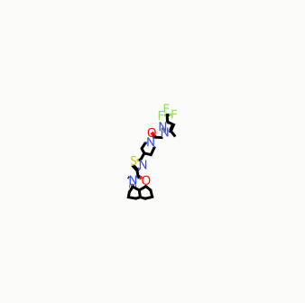 Cc1cc(C(F)(F)F)nn1CC(=O)N1CCC(c2nc(C(=O)N(C)[C@@H]3CCCC4CCCCC43)cs2)CC1